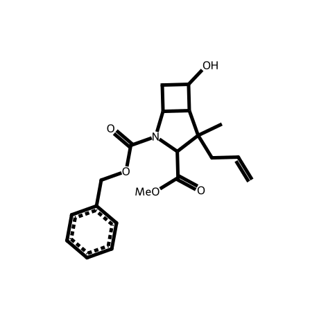 C=CCC1(C)C2C(O)CC2N(C(=O)OCc2ccccc2)C1C(=O)OC